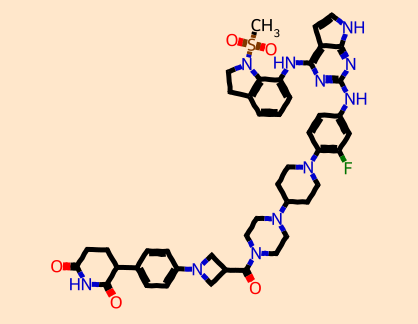 CS(=O)(=O)N1CCc2cccc(Nc3nc(Nc4ccc(N5CCC(N6CCN(C(=O)C7CN(c8ccc(C9CCC(=O)NC9=O)cc8)C7)CC6)CC5)c(F)c4)nc4[nH]ccc34)c21